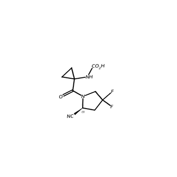 N#C[C@@H]1CC(F)(F)CN1C(=O)C1(NC(=O)O)CC1